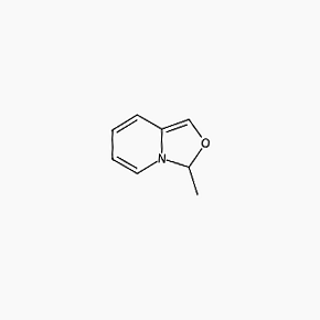 CC1OC=C2C=CC=CN21